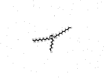 CCCCCCCCCCCN1C=CN(CCCCCCCCCC)C1CCCCCCC